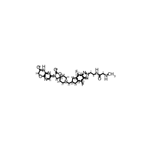 CNCC(=O)NCCn1nc2c(F)c3c(c(F)c2n1)CC(CN1CCC2(CC1)CN(c1cnc4c(n1)NC(=O)CO4)C(=O)O2)C3